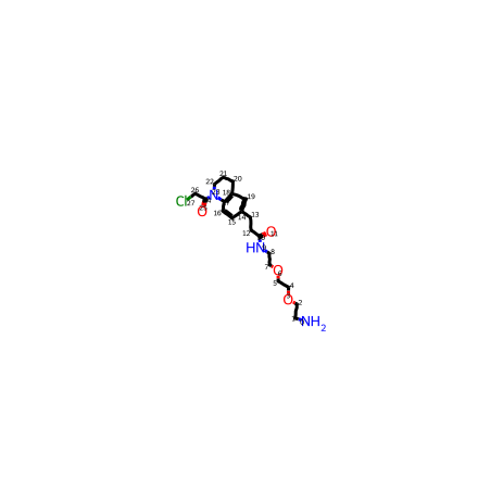 NCCOCCOCCNC(=O)CCc1ccc2c(c1)CCCN2C(=O)CCl